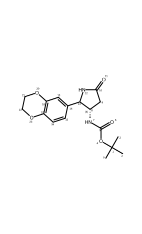 CC(C)(C)OC(=O)N[C@H]1CC(=O)NC1c1ccc2c(c1)OCCO2